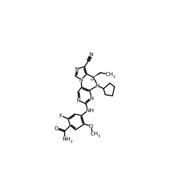 CC[C@@H]1c2c(C#N)ncn2-c2cnc(Nc3cc(F)c(C(N)=O)cc3OC)nc2N1C1CCCC1